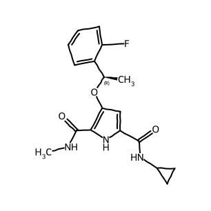 CNC(=O)c1[nH]c(C(=O)NC2CC2)cc1O[C@H](C)c1ccccc1F